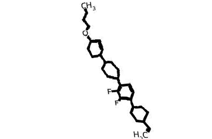 C=CC1CCC(c2ccc(C3CCC(C4C=CC(OCCCC)CC4)CC3)c(F)c2F)CC1